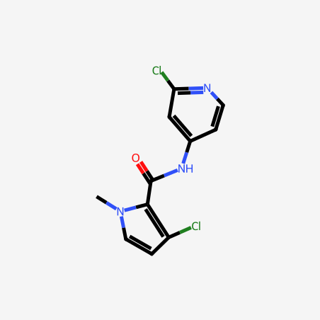 Cn1ccc(Cl)c1C(=O)Nc1ccnc(Cl)c1